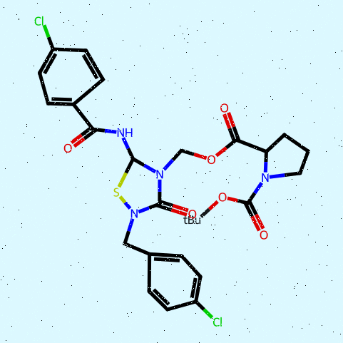 CC(C)(C)OC(=O)N1CCCC1C(=O)OCN1C(=O)N(Cc2ccc(Cl)cc2)SC1NC(=O)c1ccc(Cl)cc1